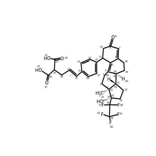 C[C@]12CCC3=C4C(=CC(=O)CC4c4ccc(/C=C/CC(C(=O)O)C(=O)O)cc4)CC[C@H]3[C@@H]1CC[C@@]2(O)C(F)(F)C(F)(F)F